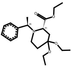 CCOC(=O)[C@@H]1CC(OCC)(OCC)CCN1[C@H](C)c1ccccc1